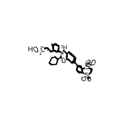 [2H]C(c1ccc(-c2ccc3c(c2)S(=O)(=O)CCS3(=O)=O)cc1)N(C(=O)C1CCCCC1)c1cccc(/C=C/C(=O)O)c1